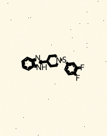 Fc1ccc(SN2CCC(c3nc4ccccc4[nH]3)CC2)cc1F